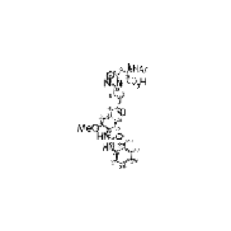 COc1cc(CC(=O)N(C)Cc2noc(CC(NC(C)=O)C(=O)O)n2)ccc1NC(=O)Nc1ccccc1C